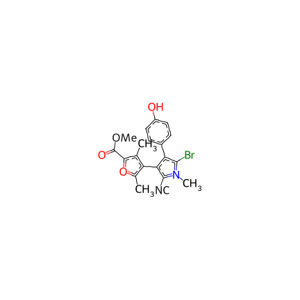 COC(=O)c1oc(C)c(-c2c(-c3ccc(O)cc3)c(Br)n(C)c2C#N)c1C